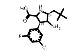 CC(C)(C)C[C@@H]1NC(C(=O)O)[C@H](c2cc(F)cc(Cl)c2)C1N